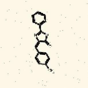 O=C1OC(c2ccccc2)=N/C1=C/c1ccc(C(F)(F)F)cc1